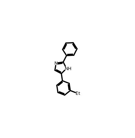 CCc1cccc(-c2cnc(-c3ccccc3)[nH]2)c1